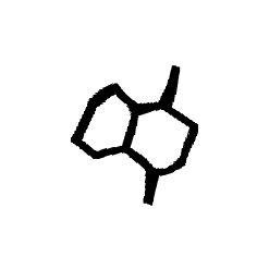 C=C1CCC(=C)C2CC=CCC12